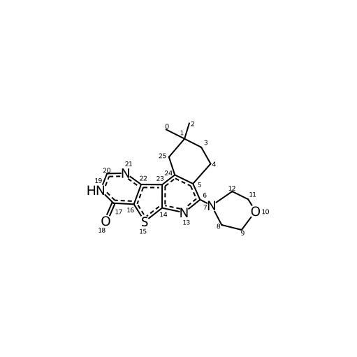 CC1(C)CCc2c(N3CCOCC3)nc3sc4c(=O)[nH]cnc4c3c2C1